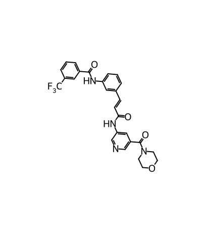 O=C(C=Cc1cccc(NC(=O)c2cccc(C(F)(F)F)c2)c1)Nc1cncc(C(=O)N2CCOCC2)c1